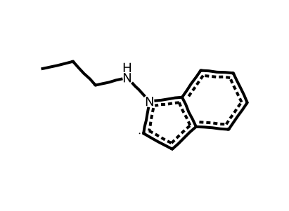 CCCNn1[c]cc2ccccc21